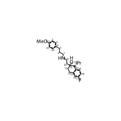 COc1ccc(CCCNCC[C@]2(O)CCc3cc(F)ccc3[C@H]2C(C)C)cc1